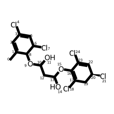 CC1=CC(Cl)=CC(Cl)C1OC(O)CC(O)OC1=C(Cl)C[C@H](Cl)C=C1Cl